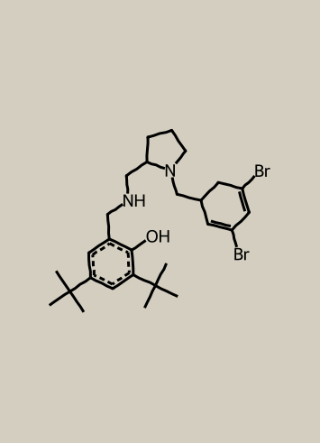 CC(C)(C)c1cc(CNCC2CCCN2CC2C=C(Br)C=C(Br)C2)c(O)c(C(C)(C)C)c1